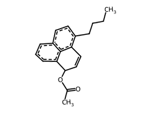 CCCCc1ccc2cccc3c2c1C=CC3OC(C)=O